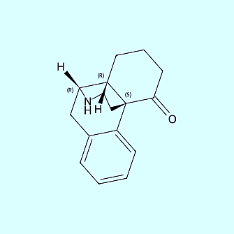 O=C1CCC[C@H]2[C@H]3Cc4ccccc4[C@@]12CCN3